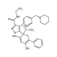 CCNC(=O)c1noc(C2(C(C)C)CC(c3ccccc3)=C(O)C=C2O)c1-c1ccc(CN2CCCCC2)cc1